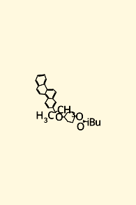 CCC(C)C(=O)OC1CCC(OC(C)(C)c2ccc3c(ccc4c5ccccc5ccc34)c2)CC1